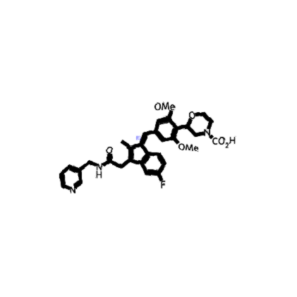 COc1cc(/C=C2/C(C)=C(CC(=O)NCc3cccnc3)c3cc(F)ccc32)cc(OC)c1C1CN(C(=O)O)CCO1